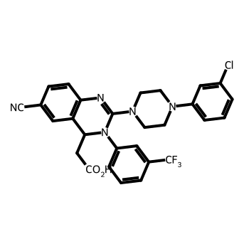 N#Cc1ccc2c(c1)C(CC(=O)O)N(c1cccc(C(F)(F)F)c1)C(N1CCN(c3cccc(Cl)c3)CC1)=N2